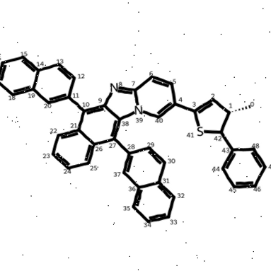 C[C@H]1C=C(c2ccc3nc4c(-c5ccc6ccccc6c5)c5ccccc5c(-c5ccc6ccccc6c5)c4n3c2)SC1c1ccccc1